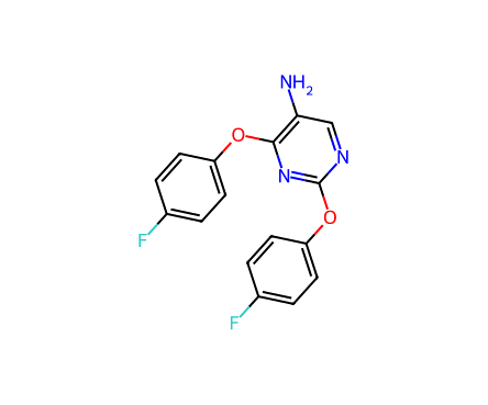 Nc1cnc(Oc2ccc(F)cc2)nc1Oc1ccc(F)cc1